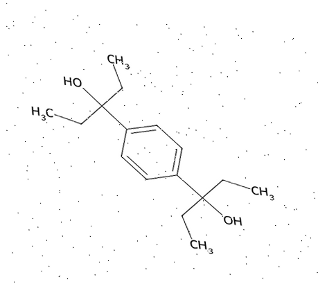 CCC(O)(CC)c1ccc(C(O)(CC)CC)cc1